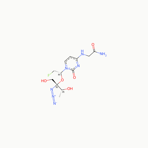 C[C@@H](O)[C@](CO)(N=[N+]=[N-])O[C@H](CF)n1ccc(NCC(N)=O)nc1=O